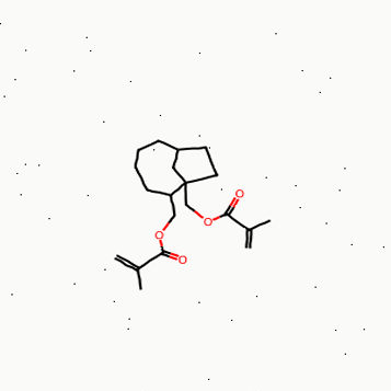 C=C(C)C(=O)OCC1CCCCC2CCC1(COC(=O)C(=C)C)C2